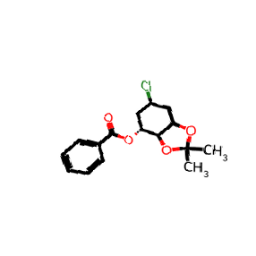 CC1(C)OC2CC(Cl)C[C@@H](OC(=O)c3ccccc3)C2O1